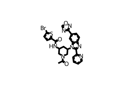 CC(=O)N1CC(NC(=O)c2ccc(Br)s2)CC(n2c(-c3ccccn3)nc3ccc(-c4ncon4)cc32)C1